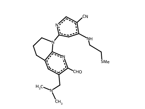 CSCCNc1cc(N2CCCc3cc(CN(C)C)c(C=O)nc32)ncc1C#N